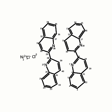 [Cl-].[Cl-].[Ni+2].c1ccc2nc(-c3ccc4ccccc4n3)ccc2c1.c1ccc2nc(-c3ccc4ccccc4n3)ccc2c1